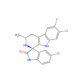 CC1Cc2c([nH]c3cc(Cl)c(F)cc23)[C@@]2(N1)C(=O)Nc1ccc(Cl)cc12